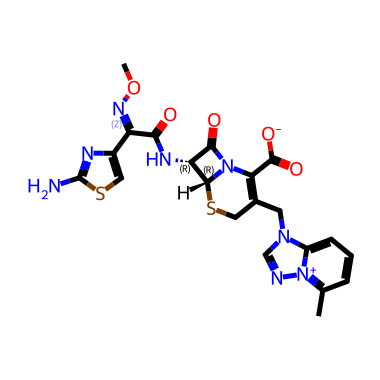 CO/N=C(\C(=O)N[C@@H]1C(=O)N2C(C(=O)[O-])=C(Cn3cn[n+]4c(C)cccc34)CS[C@H]12)c1csc(N)n1